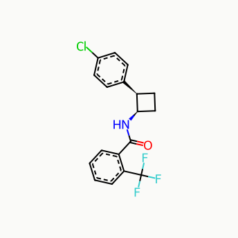 O=C(N[C@@H]1CC[C@@H]1c1ccc(Cl)cc1)c1ccccc1C(F)(F)F